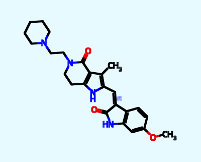 COc1ccc2c(c1)NC(=O)/C2=C\c1[nH]c2c(c1C)C(=O)N(CCN1CCCCC1)CC2